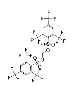 O=S(=O)(OCOS(=O)(=O)c1c(C(F)(F)F)cc(C(F)(F)F)cc1C(F)(F)F)c1c(C(F)(F)F)cc(C(F)(F)F)cc1C(F)(F)F